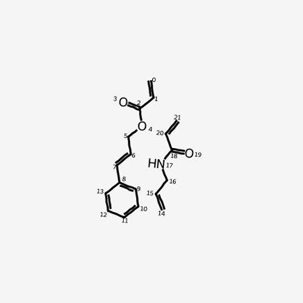 C=CC(=O)OCC=Cc1ccccc1.C=CCNC(=O)C=C